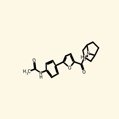 CC(=O)Nc1ccc(-c2ccc(C(=O)N3CC4CCC(C3)N4C)o2)cc1